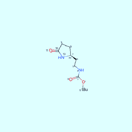 CC(C)(C)OC(=O)NCC[C@@H]1CCC(=O)N1